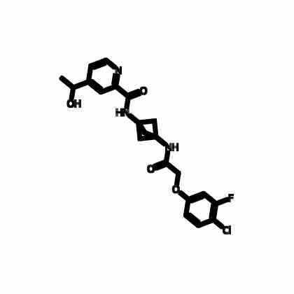 CC(O)c1ccnc(C(=O)NC23CC(NC(=O)COc4ccc(Cl)c(F)c4)(C2)C3)c1